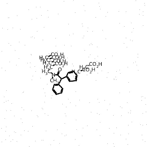 CC(=O)O.CC(=O)O.CC(=O)O.CC(=O)O.CC(=O)O.CC(=O)O.CN(C)C(=O)C(c1ccccc1)c1ccccc1